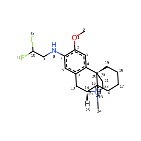 COc1cc2c(cc1NCC(F)F)C[C@@H]1[C@H]3CCCC[C@]23CCN1C